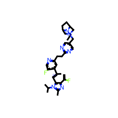 C=C(F)c1nc(C)n(C(C)C)c1/C=C(\C)c1cc(CCc2ncc(CN3CC4CCC(C3)N4CC)cn2)ncc1F